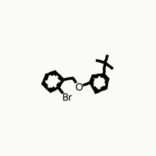 CC(C)(C)c1cccc(OCc2ccccc2Br)c1